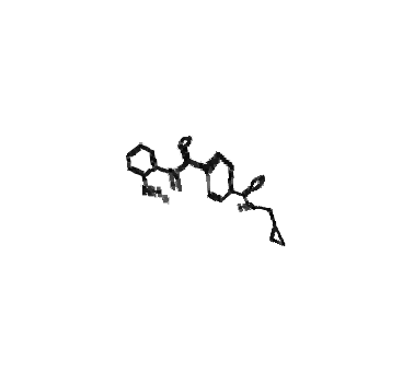 Nc1ccccc1NC(=O)c1ccc(C(=O)NCC2CC2)cc1